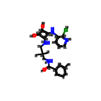 Cc1cccc(C(=O)NCC(C)(C)CNc2c(Nc3cccnc3Cl)c(=O)c2=O)c1